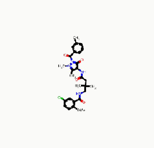 COc1ccc(Cl)cc1C(=O)NCC(C)(C)CC(=O)Nc1c(C)n(C)n(C(=O)c2cccc(C)c2)c1=O